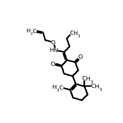 C=CCONC(CCC)=C1C(=O)CC(C2=C(C)CCCC2(C)C)CC1=O